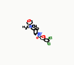 C[N+](C)(Cc1ccc(NC(=O)C2=Cc3cc(Cl)cc(Cl)c3OC2)cc1)C1CCOCC1